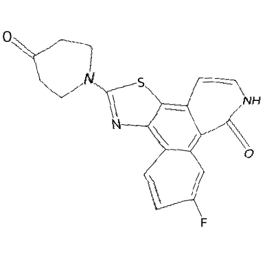 O=C1CCN(c2nc3c4ccc(F)cc4c4c(=O)[nH]ccc4c3s2)CC1